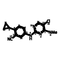 CNc1nc(Nc2ccc(C3CC3)c(C#N)c2)ncc1Cl